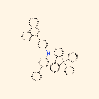 c1ccc(-c2ccc(N(c3ccc(-c4cc5ccccc5c5ccccc45)cc3)c3cccc4c3-c3ccccc3C4(c3ccccc3)c3ccccc3)cc2)cc1